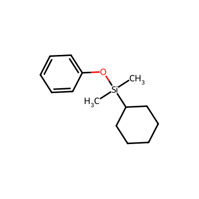 C[Si](C)(Oc1ccccc1)C1CCCCC1